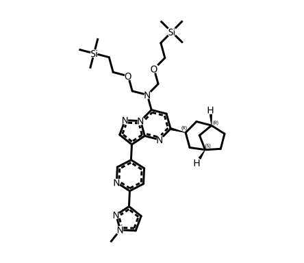 Cn1ccc(-c2ccc(-c3cnn4c(N(COCC[Si](C)(C)C)COCC[Si](C)(C)C)cc([C@H]5C[C@@H]6CC[C@@H](C6)C5)nc34)cn2)n1